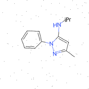 Cc1cc(NC(C)C)n(-c2ccccc2)n1